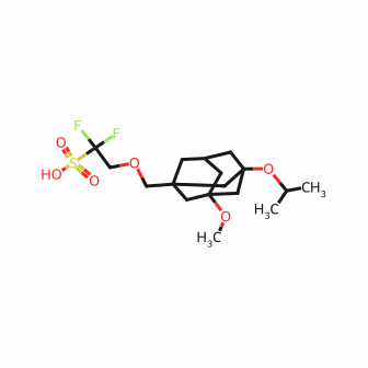 COC12CC3CC(COCC(F)(F)S(=O)(=O)O)(C1)CC(OC(C)C)(C3)C2